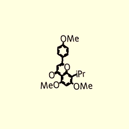 COc1ccc(-c2cc(=O)c3c(OC)cc(OC)c(C(C)C)c3o2)cc1